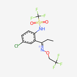 CC/C(=N\OCC(F)(F)F)c1cc(Cl)ccc1NS(=O)(=O)C(F)(F)F